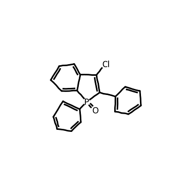 O=P1(c2ccccc2)C(c2ccccc2)=C(Cl)c2ccccc21